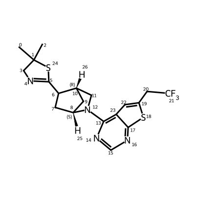 CC1(C)CN=C(C2C[C@@H]3C[C@H]2CN3c2ncnc3sc(CC(F)(F)F)cc23)S1